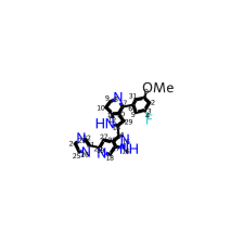 COc1cc(F)cc(-c2nccc3[nH]c(-c4n[nH]c5cnc(-c6cnccn6)cc45)cc23)c1